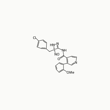 COc1ccccc1-c1cnccc1C(=O)NC1=NNS1(Cc1ccc(Cl)cc1)N=O